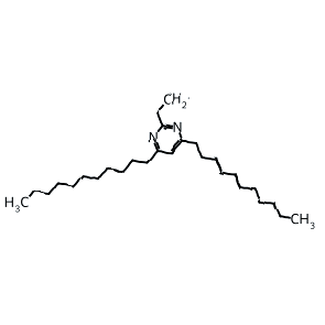 [CH2]Cc1nc(CCCCCCCCCCC)cc(CCCCCCCCCCC)n1